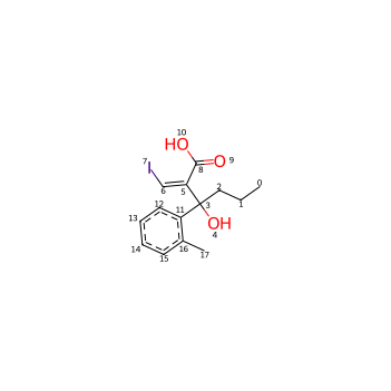 CCCC(O)(C(=CI)C(=O)O)c1ccccc1C